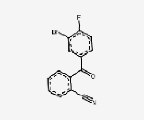 N#Cc1ccccc1C(=O)c1ccc(F)c(Br)c1